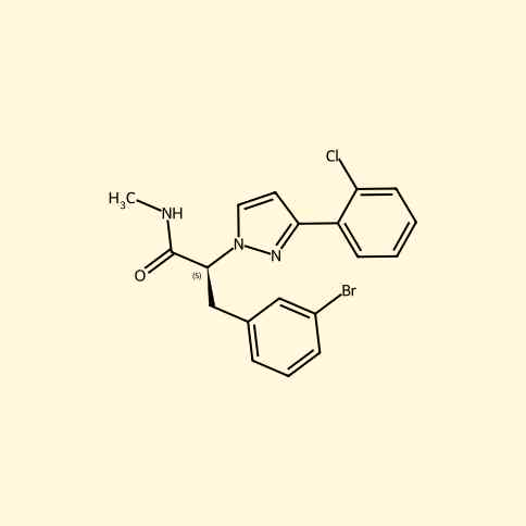 CNC(=O)[C@H](Cc1cccc(Br)c1)n1ccc(-c2ccccc2Cl)n1